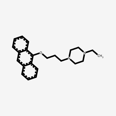 CCN1CCN(CCCOc2c3ccccc3cc3ccccc23)CC1